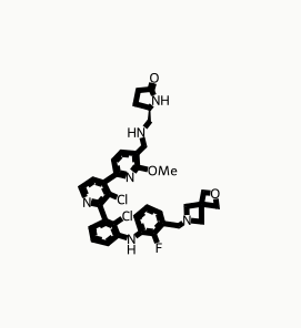 COc1nc(-c2ccnc(-c3cccc(Nc4cccc(CN5CC6(COC6)C5)c4F)c3Cl)c2Cl)ccc1CNC[C@H]1CCC(=O)N1